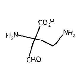 NCC(N)(C=O)C(=O)O